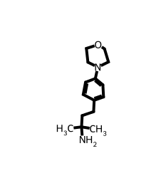 CC(C)(N)CCc1ccc(N2CCOCC2)cc1